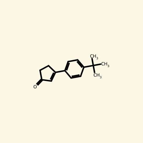 CC(C)(C)c1ccc(C2=CC(=O)CC2)cc1